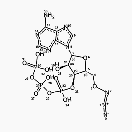 [N-]=[N+]=NOC[C@H]1O[C@@H](n2cnc3c(N)ncnc32)[C@H](O)[C@@H]1OP(=O)(O)OP(=O)(O)OP(=O)(O)O